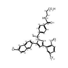 CCOc1ccc(C(F)(F)F)cc1-c1cc(-c2ccc3cc(Cl)ccc3c2)n([C@@H](C)c2ccc(C(=O)NCCC(=O)O)cc2)n1